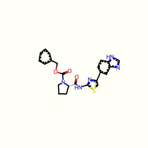 O=C(Nc1nc(-c2ccc3[nH]cnc3c2)cs1)[C@@H]1CCCN1C(=O)OCc1ccccc1